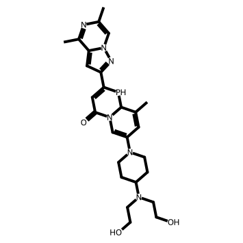 CC1=CC(N2CCC(N(CCO)CCO)CC2)=CN2C(=O)C=C(c3cc4c(C)nc(C)cn4n3)PC12